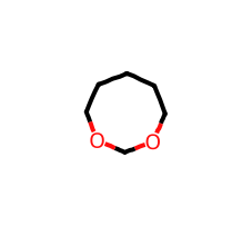 C1CCOCOCC1